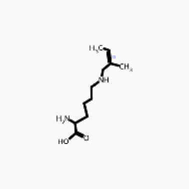 C/C=C(/C)CNCCCCC(N)C(=O)O